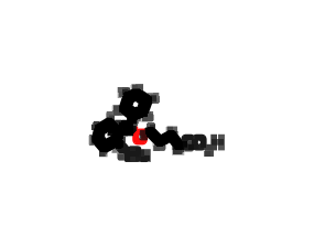 CC(C)(C)c1ccccc1[SiH](OCCCCC(=O)O)c1ccccc1